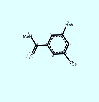 C=C(NC)c1cc(NC)cc(C(F)(F)F)c1